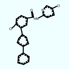 O=C(Nc1ccc(Cl)cn1)c1ccc(Cl)c(-c2ccc(-c3ccccc3)cc2)c1